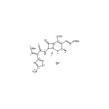 CON=CC1=C(C(=O)[O-])N2C(=O)C(NC(=O)/C(=N\OC)c3csc(N)n3)[C@@H]2S[C@@H]1C.[Na+]